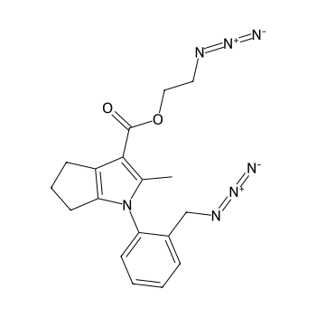 Cc1c(C(=O)OCCN=[N+]=[N-])c2c(n1-c1ccccc1CN=[N+]=[N-])CCC2